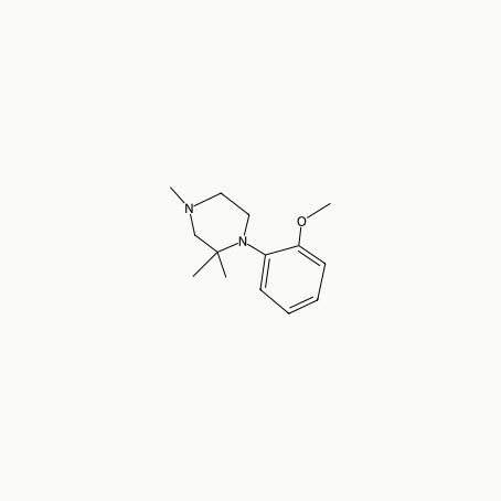 COc1ccccc1N1CCN(C)CC1(C)C